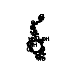 CCn1c(-c2cccnc2[C@H](C)OC)c2c3cc(ccc31)-c1cc(O)cc(c1)C[C@H](NC(=O)C(CN(C)C(=O)[C@H]1CCN(C(=O)/C=C/CN3CCOCC3)C1)C(C)C)C(=O)N1CCC[C@H](N1)C(=O)OCC(C)(C)C2